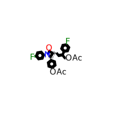 CC(=O)OCC(=CC[C@H]1C(=O)N(c2ccc(F)cc2)[C@@H]1c1ccc(OC(C)=O)cc1)c1ccc(F)cc1